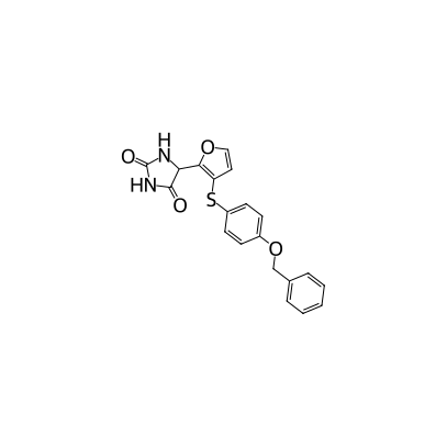 O=C1NC(=O)C(c2occc2Sc2ccc(OCc3ccccc3)cc2)N1